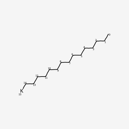 CCCCCCCCCCCCCC[CH2][K]